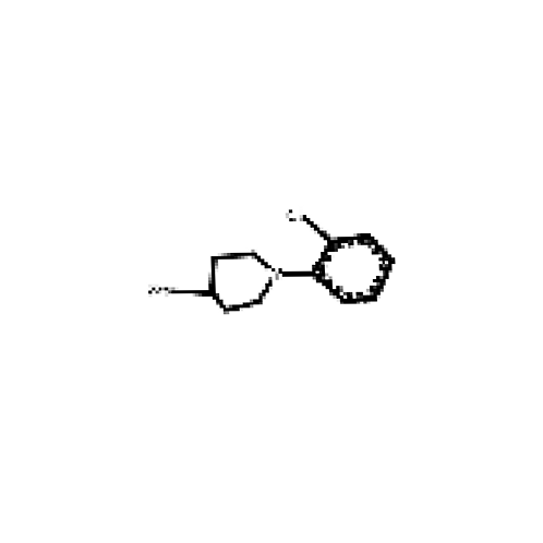 CC(C)C1CCN(c2ccccc2Cl)CC1